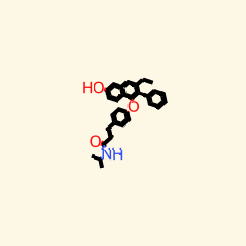 CCc1cc2cc(O)ccc2c(Oc2ccc(/C=C/C(=O)NC(C)C)cc2)c1-c1ccccc1